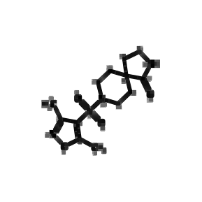 Cc1noc(C)c1S(=O)(=O)N1CCC2(CCNC2=O)CC1